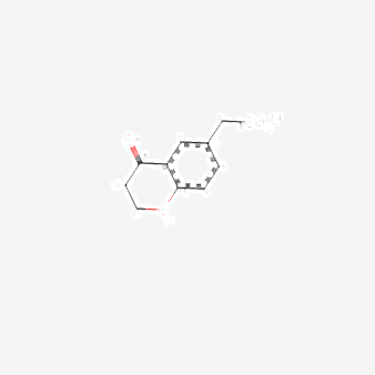 O=C(O)Cc1ccc2c(c1)C(=O)CCO2